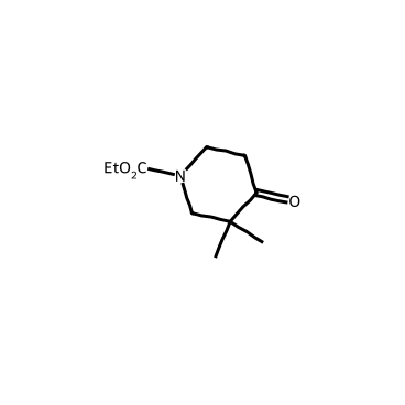 CCOC(=O)N1CCC(=O)C(C)(C)C1